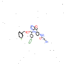 CN(C)C/C=C/C(=O)Nc1cccc(-c2coc3ncnc(N[C@H](COCc4cccc(F)c4)c4ccc(Cl)cc4)c23)c1